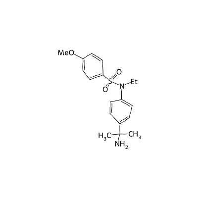 CCN(c1ccc(C(C)(C)N)cc1)S(=O)(=O)c1ccc(OC)cc1